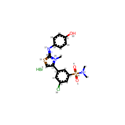 Br.CN(C)S(=O)(=O)c1cc(Cl)cc(-c2cs/c(=N/c3ccc(O)cc3)n2C)c1